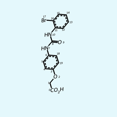 O=C(O)COc1ccc(NC(=O)Nc2ccccc2Br)cc1